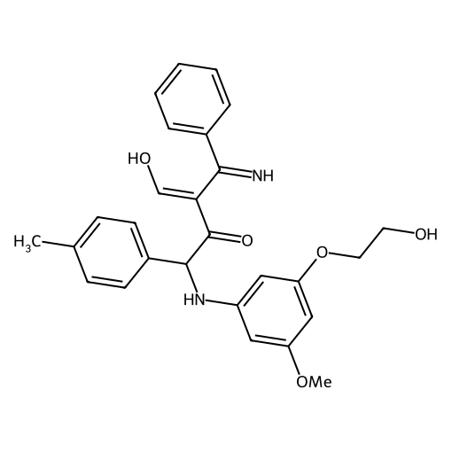 COc1cc(NC(C(=O)/C(=C/O)C(=N)c2ccccc2)c2ccc(C)cc2)cc(OCCO)c1